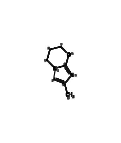 Cc1cn2c(n1)OCCC2